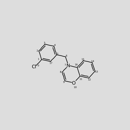 Clc1cccc(CN2C=COc3ccccc32)c1